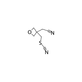 N#CCC1(CSC#N)COC1